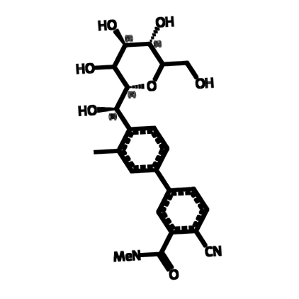 CNC(=O)c1cc(-c2ccc([C@@H](O)[C@H]3OC(CO)[C@@H](O)[C@H](O)C3O)c(C)c2)ccc1C#N